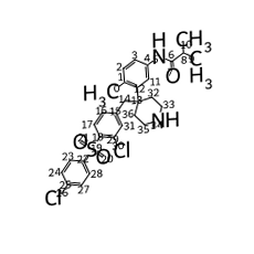 Cc1ccc(NC(=O)C(C)C)cc1C1(Cc2ccc(S(=O)(=O)c3ccc(Cl)cc3)c(Cl)c2)CCNCC1